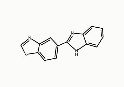 c1ccc2[nH]c(-c3ccc4scnc4c3)nc2c1